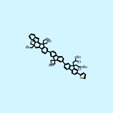 CCCCC(CC)CC1(CC(CC)CCCC)c2cc(-c3ccc4c(c3)C(CC(C)CC)(CC(C)CC)c3cc(-c5ccc6c(c5)C(CC(C)CC)(CC(C)CC)C5=C7C=c8ccccc8=C7C(CC(C)CC)(CC(C)CC)C=C56)ccc3-4)ccc2-c2ccc(-c3cccs3)cc21